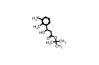 Cc1c(N)cccc1C(O)CC(=O)OC(C)(C)C